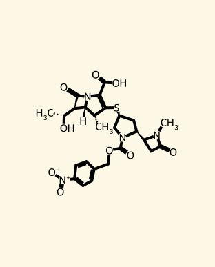 C[C@@H](O)[C@H]1C(=O)N2C(C(=O)O)=C(S[C@H]3C[C@@H](C4CC(=O)N4C)N(C(=O)OCc4ccc([N+](=O)[O-])cc4)C3)[C@H](C)[C@H]12